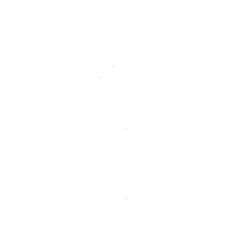 O=C(O)NC1CN(C(=O)c2ccc(N3CCC(C4CCN(C(=O)C(O)(c5ccccc5)C(F)(F)C(F)(F)F)CC4)CC3)cc2Cl)C1